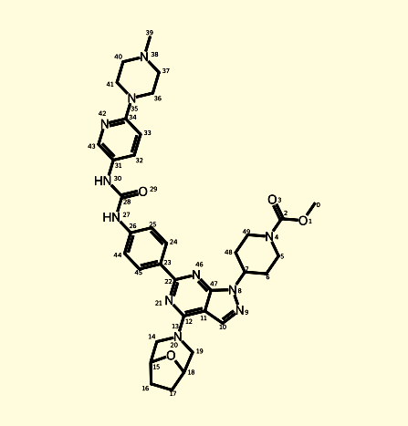 COC(=O)N1CCC(n2ncc3c(N4CC5CCC(C4)O5)nc(-c4ccc(NC(=O)Nc5ccc(N6CCN(C)CC6)nc5)cc4)nc32)CC1